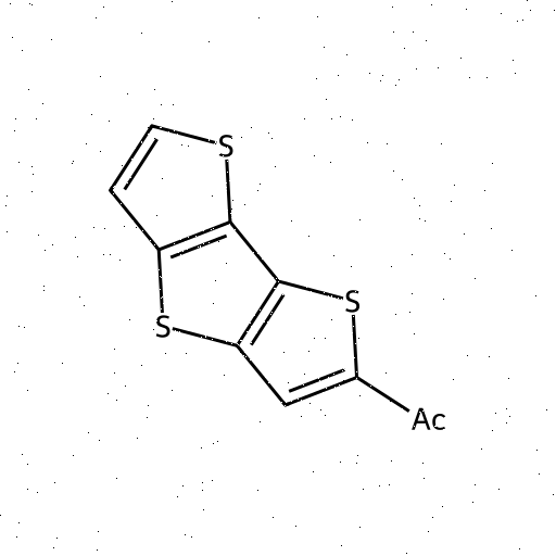 CC(=O)c1cc2sc3ccsc3c2s1